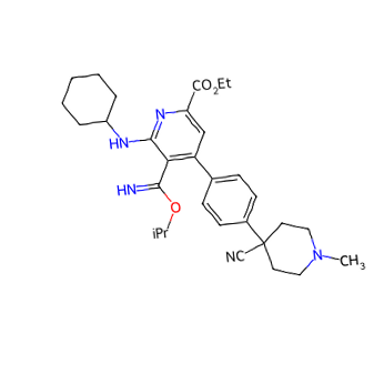 CCOC(=O)c1cc(-c2ccc(C3(C#N)CCN(C)CC3)cc2)c(C(=N)OC(C)C)c(NC2CCCCC2)n1